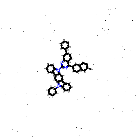 Cc1ccc2cc(-c3nc(-n4c5ccccc5c5cc6c(cc54)c4ccccc4n6-c4ccccc4)nc4cc(-c5ccccc5)ccc34)ccc2c1